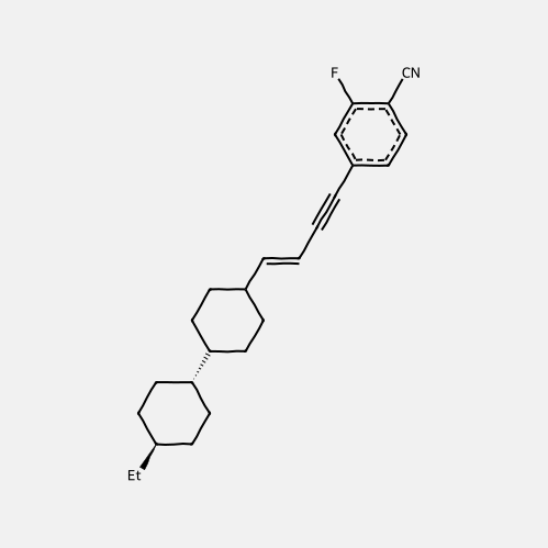 CC[C@H]1CC[C@H](C2CCC(/C=C/C#Cc3ccc(C#N)c(F)c3)CC2)CC1